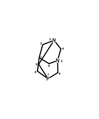 C1C2CN3CN1CP(C2)C3